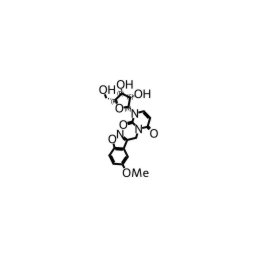 COc1ccc2onc(Cn3c(=O)ccn([C@@H]4O[C@H](CO)[C@H](O)[C@@H]4O)c3=O)c2c1